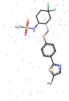 Cc1cnc(-c2ccc(OC[C@H]3CC(F)(F)CC[C@@H]3NS(C)(=O)=O)cc2)s1